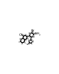 Cc1cnc(-c2nc(N)c(Br)nc2-c2cc(Cl)c3ncccc3c2)s1